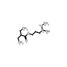 CCC(CC)C(=O)OCCCN(O)OC